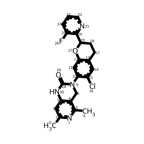 Cc1cc2c(c(C)n1)CN(c1cc3c(cc1Cl)CCC(c1ncccc1F)O3)C(=O)N2